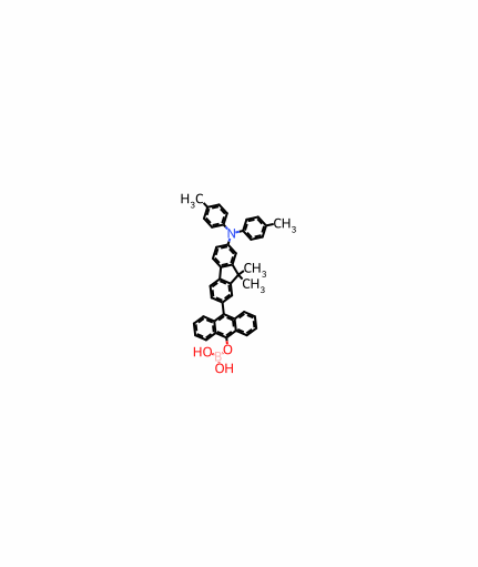 Cc1ccc(N(c2ccc(C)cc2)c2ccc3c(c2)C(C)(C)c2cc(-c4c5ccccc5c(OB(O)O)c5ccccc45)ccc2-3)cc1